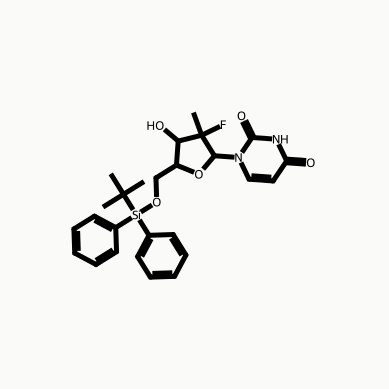 CC1(F)C(O)C(CO[Si](c2ccccc2)(c2ccccc2)C(C)(C)C)OC1n1ccc(=O)[nH]c1=O